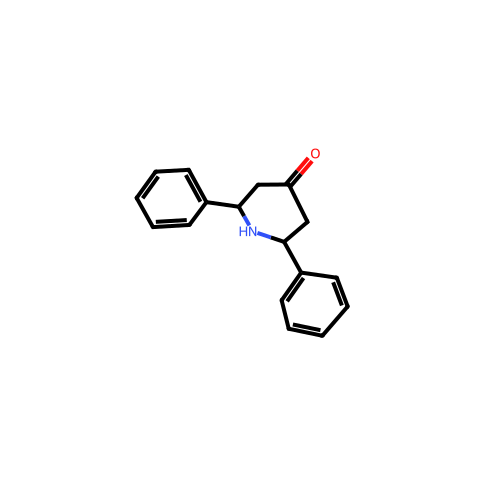 O=C1CC(c2ccccc2)NC(c2ccccc2)C1